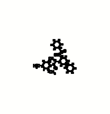 Cc1cc(C)c(C(=O)Cc2ccccc2[P](=O)C(=O)c2ccccc2)c(C)c1.c1ccccc1